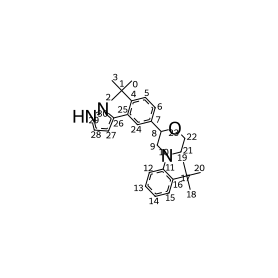 CC(C)(C)c1ccc(C2CN(c3ccccc3C(C)(C)C)CCO2)cc1-c1cc[nH]n1